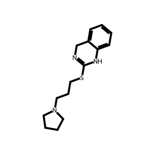 c1ccc2c(c1)CN=C(SCCCN1CCCC1)N2